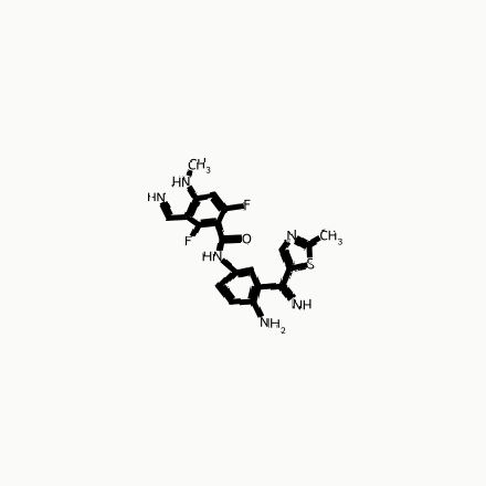 CNc1cc(F)c(C(=O)Nc2ccc(N)c(C(=N)c3cnc(C)s3)c2)c(F)c1C=N